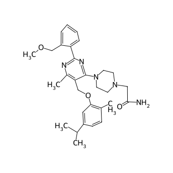 COCc1ccccc1-c1nc(C)c(COc2cc(C(C)C)ccc2C)c(N2CCN(CC(N)=O)CC2)n1